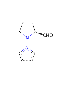 O=C[C@@H]1CCCN1n1cccc1